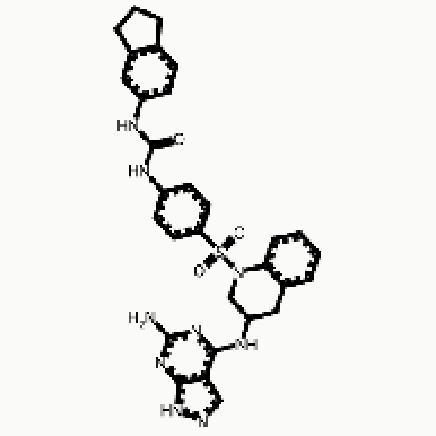 Nc1nc(NC2Cc3ccccc3N(S(=O)(=O)c3ccc(NC(=O)Nc4ccc5c(c4)CCC5)cc3)C2)c2cn[nH]c2n1